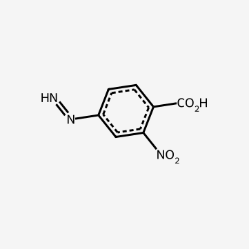 N=Nc1ccc(C(=O)O)c([N+](=O)[O-])c1